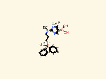 CCN(CCCO[Si](c1ccccc1)(c1ccccc1)C(C)(C)C)c1ncc(B(O)O)c(OC)n1